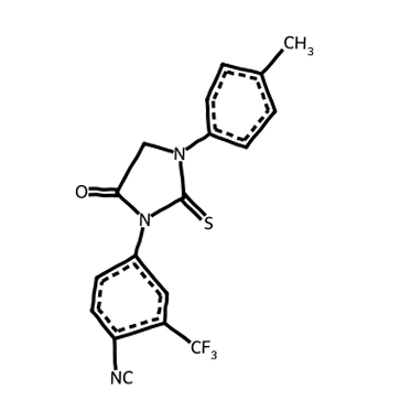 [C-]#[N+]c1ccc(N2C(=O)CN(c3ccc(C)cc3)C2=S)cc1C(F)(F)F